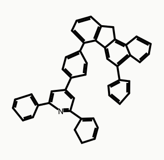 C1=CCCC(c2cc(-c3ccc(-c4cccc5c4-c4cc(-c6ccccc6)c6ccccc6c4C5)cc3)cc(-c3ccccc3)n2)=C1